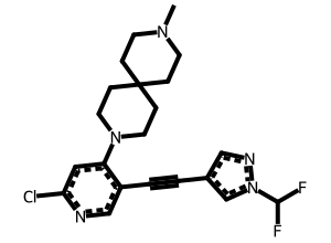 CN1CCC2(CC1)CCN(c1cc(Cl)ncc1C#Cc1cnn(C(F)F)c1)CC2